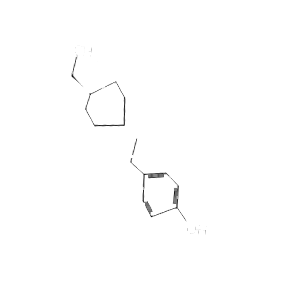 CC[C@H]1CC[C@H](CCc2ccc(O)cc2)CC1